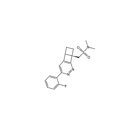 CN(C)S(=O)(=O)C[C@]12CCC1c1cc(-c3ccccc3F)nnc12